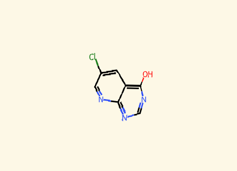 Oc1ncnc2ncc(Cl)cc12